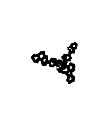 c1ccc2c(c1)-c1cccc3c(N(c4ccc(-c5ccc6c(ccc7ccccc76)c5)cc4)c4ccc(-c5cc6ccccc6s5)cc4)ccc-2c13